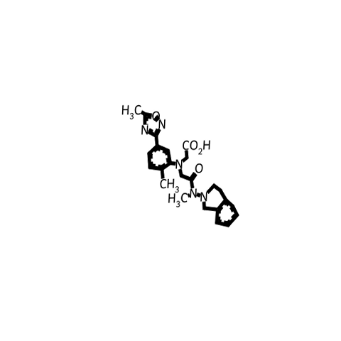 Cc1nc(-c2ccc(C)c(N(CC(=O)O)CC(=O)N(C)N3CCc4ccccc4C3)c2)no1